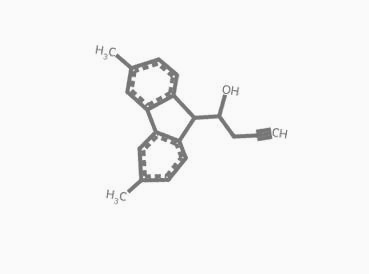 C#CCC(O)C1c2ccc(C)cc2-c2cc(C)ccc21